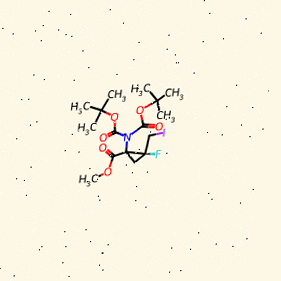 COC(=O)C1(N(C(=O)OC(C)(C)C)C(=O)OC(C)(C)C)C[C@@]1(F)CI